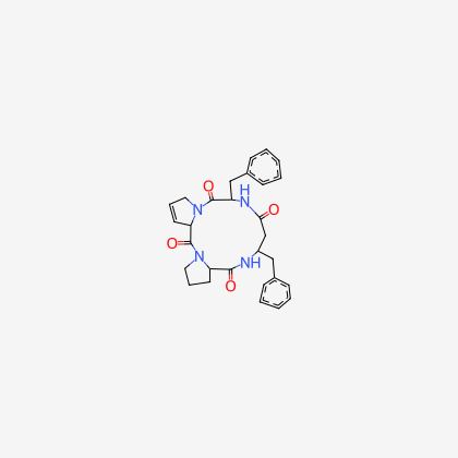 O=C1CC(Cc2ccccc2)NC(=O)C2CCCN2C(=O)C2C=CCN2C(=O)C(Cc2ccccc2)N1